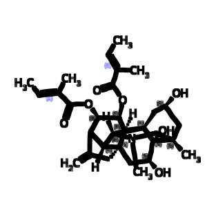 C=C1C[C@@]23C[C@H](O)[C@]4(O)[C@@]5(C)C[C@H](O)C[C@@]46[C@@H]2[C@H](OC(=O)/C(C)=C/C)[C@H](OC(=O)/C(C)=C/C)C1[C@@H]3[C@H]6N(C)C5